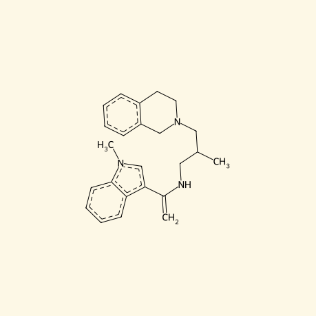 C=C(NCC(C)CN1CCc2ccccc2C1)c1cn(C)c2ccccc12